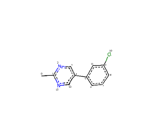 Cc1ncc(-c2cccc(Cl)c2)cn1